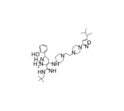 CC(C)C(C)c1cc(N2CCN(CCN3CCC(N/C(CC(N)c4ccccc4O)=C(/N)C(=N)NCC(C)(C)C)CC3)CC2)no1